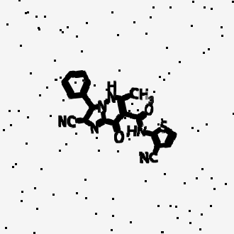 CC1=C(C(=O)Nc2sccc2C#N)C(=O)C2=NC(C#N)C(c3ccccc3)N2N1